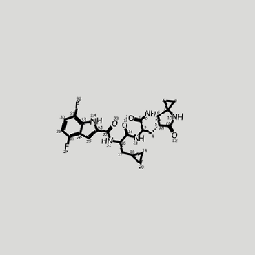 NC(=O)C(C[C@@H]1CC2(CC2)NC1=O)NC(=O)C(CC1CC1)NC(=O)c1cc2c(F)ccc(F)c2[nH]1